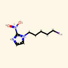 O=[N+]([O-])c1nccn1CCCCCI